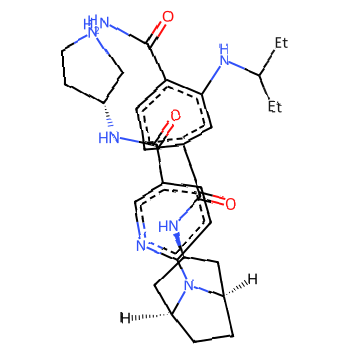 CCC(CC)Nc1cc(C(=O)N[C@H]2C[C@H]3CC[C@@H](C2)N3c2ccc(C(=O)N[C@@H]3CCNC3)cn2)ccc1C(N)=O